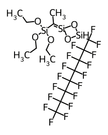 CCO[Si](OCC)(OCC)C(C)=[Si]1O[SiH](C(F)(F)C(F)(F)C(F)(F)C(F)(F)C(F)(F)C(F)(F)C(F)(F)C(F)(F)F)O1